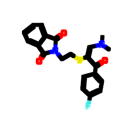 CN(C)C=C(SCCN1C(=O)c2ccccc2C1=O)C(=O)c1ccc(F)cc1